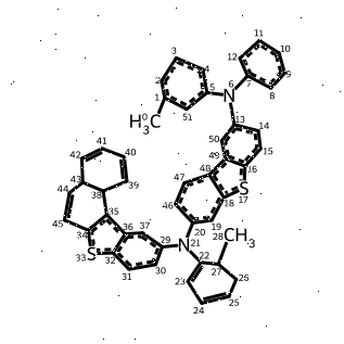 Cc1cccc(N(c2ccccc2)c2ccc3sc4cc(N(C5=CC=CCC5C)c5ccc6sc7c(c6c5)C5C=CC=CC5C=C7)ccc4c3c2)c1